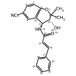 CC1(C)Oc2ccc(C#N)cc2[C@H](NC(=O)/C=C/c2ccccc2)[C@H]1O